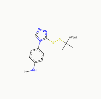 CCCCCC(C)(C)SSc1nncn1-c1ccc(NCC)cc1